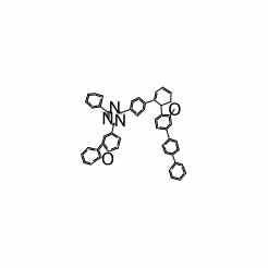 C1=CC2Oc3cc(-c4ccc(-c5ccccc5)cc4)ccc3C2C(c2ccc(-c3nc(-c4ccccc4)nc(-c4ccc5oc6ccccc6c5c4)n3)cc2)=C1